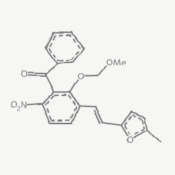 COCOc1c(C=Cc2ccc(C)o2)ccc([N+](=O)[O-])c1C(=O)c1ccccc1